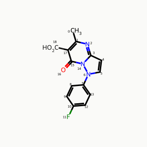 Cc1nc2ccn(-c3ccc(F)cc3)n2c(=O)c1C(=O)O